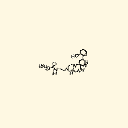 CC(C)(C)OC(=O)NCCN1CCN2c3cc(-c4ccccc4O)nnc3NC[C@H]2C1